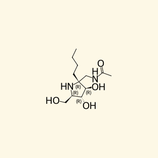 CCCC[C@]1(CNC(C)=O)N[C@H](CO)[C@@H](O)[C@@H]1O